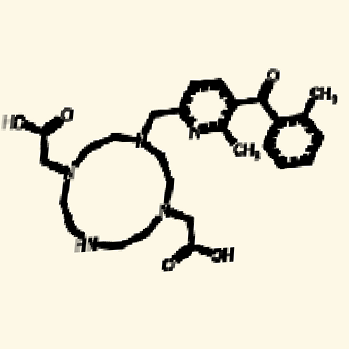 Cc1ccccc1C(=O)c1ccc(CN2CCN(CC(=O)O)CCNCCN(CC(=O)O)CC2)nc1C